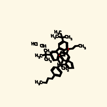 Cl.Cl.[CH2]=[Hf]([C]1=CC=CC1)([c]1ccc(CCCC)cc1)([c]1ccc(CCCC)cc1)[c]1cc(C(C)(C)C)cc2c1Cc1ccc(C(C)(C)C)cc1-2